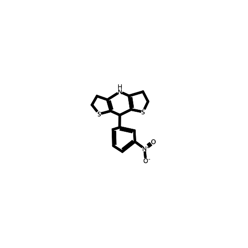 O=[N+]([O-])c1cccc(C2C3=C(CCS3)NC3=C2SCC3)c1